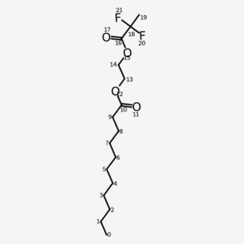 CCCCCCCCCCC(=O)OCCOC(=O)C(C)(F)F